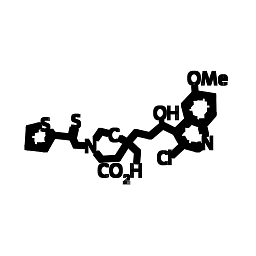 COc1ccc2ncc(Cl)c([C@H](O)CCC3(CC(=O)O)CCN(CC(=S)c4cccs4)CC3)c2c1